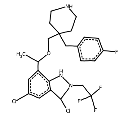 CC(OCC1(Cc2ccc(F)cc2)CCNCC1)c1cc(Cl)cc2c1NN(CC(F)(F)F)C2Cl